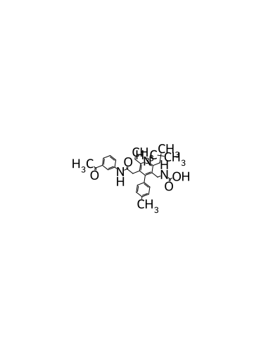 CCc1nc(CC(C)(C)C)c(CNC(=O)O)c(-c2ccc(C)cc2)c1CC(=O)Nc1cccc(C(C)=O)c1